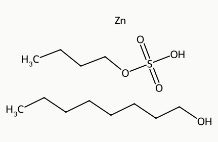 CCCCCCCCO.CCCCOS(=O)(=O)O.[Zn]